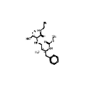 CCC[C@@H](O)C(NC[C@@H](O)[C@H](Cc1ccccc1)NC(=O)OC(C)(C)C)C(=O)NCC(C)C